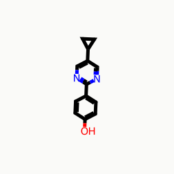 Oc1ccc(-c2ncc(C3CC3)cn2)cc1